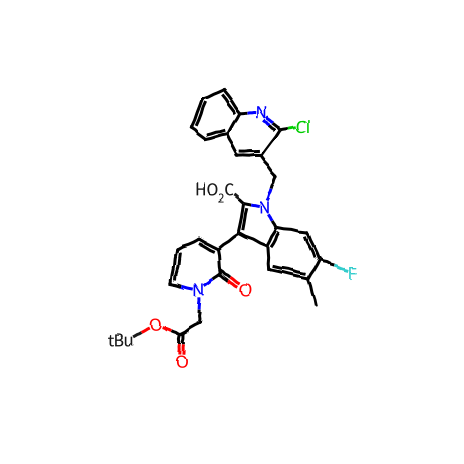 Cc1cc2c(-c3cccn(CC(=O)OC(C)(C)C)c3=O)c(C(=O)O)n(Cc3cc4ccccc4nc3Cl)c2cc1F